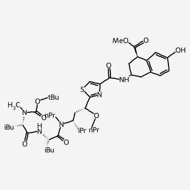 CCCO[C@H](C[C@H](C(C)C)N(CCC)C(=O)[C@@H](NC(=O)[C@H]([C@@H](C)CC)N(C)C(=O)OC(C)(C)C)[C@@H](C)CC)c1nc(C(=O)N[C@H]2Cc3ccc(O)cc3[C@H](C(=O)OC)C2)cs1